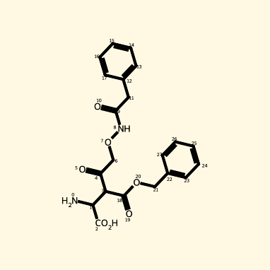 NC(C(=O)O)C(C(=O)CONC(=O)Cc1ccccc1)C(=O)OCc1ccccc1